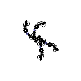 C=CC(=O)OCOc1ccc(/C=C/COOc2cc3c(cc2OOC/C=C/c2ccc(OCOC(=O)C=C)cc2)C2(CC3(C)C)CC(C)(C)c3cc(OC(=O)/C=C/c4ccc(OCOC(=O)C=C)cc4)c(OC(=O)/C=C/c4ccc(OCOC(=O)C=C)cc4)cc32)cc1